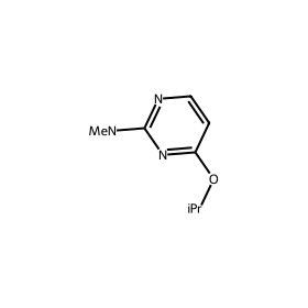 CNc1nccc(OC(C)C)n1